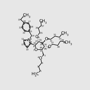 CCCCOC[C@H]1O[C@@H](c2cccn2Cc2ccc(CC)cc2)[C@H](OCCCC)[C@@H](OCCCC)[C@@H]1OCCCC